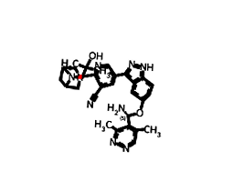 Cc1cnnc(C)c1[C@@H](N)Oc1ccc2[nH]nc(-c3cnc(N4CC5CC(C4)N5CC(C)(C)O)c(C#N)c3)c2c1